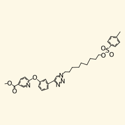 COC(=O)c1ccc(Oc2cccc(-c3cn(CCCCCCCCCOS(=O)(=O)c4ccc(C)cc4)nn3)c2)nc1